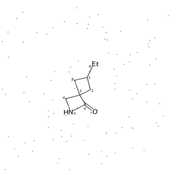 CCC1CC2(CNC2=O)C1